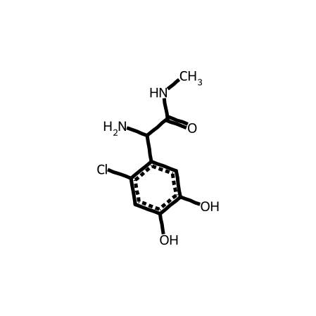 CNC(=O)C(N)c1cc(O)c(O)cc1Cl